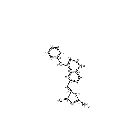 NC1=NC(=O)/C(=C/c2ccc3nccc(Oc4ccccc4)c3c2)S1